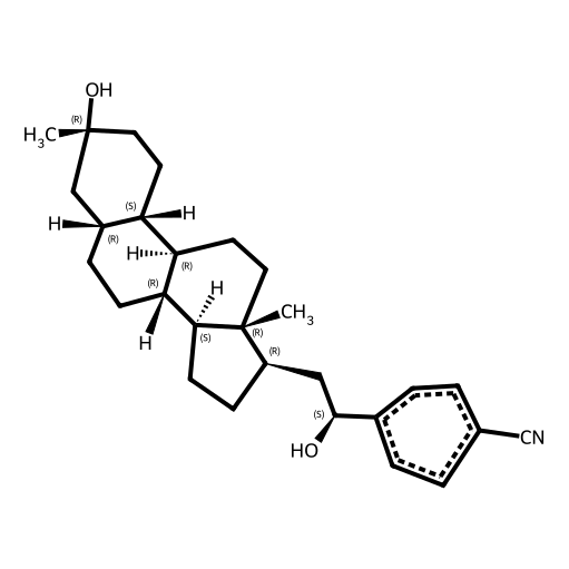 C[C@@]1(O)CC[C@H]2[C@H](CC[C@@H]3[C@@H]2CC[C@]2(C)[C@@H](C[C@H](O)c4ccc(C#N)cc4)CC[C@@H]32)C1